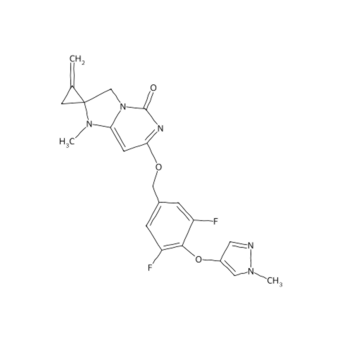 C=C1CC12Cn1c(cc(OCc3cc(F)c(Oc4cnn(C)c4)c(F)c3)nc1=O)N2C